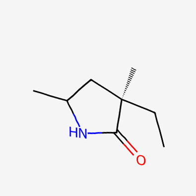 CC[C@]1(C)CC(C)NC1=O